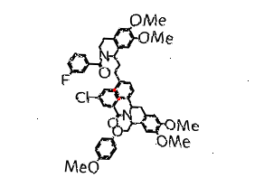 COc1ccc(OCC2c3cc(OC)c(OC)cc3CC(c3ccc(CCC4c5cc(OC)c(OC)cc5CCN4C(=O)c4cccc(F)c4)cc3)N2C(=O)c2cccc(Cl)c2)cc1